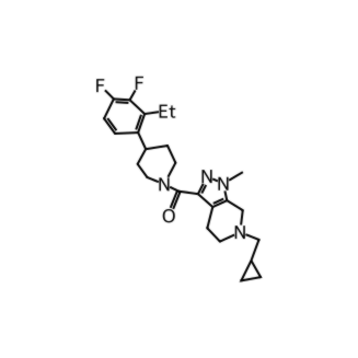 CCc1c(C2CCN(C(=O)c3nn(C)c4c3CCN(CC3CC3)C4)CC2)ccc(F)c1F